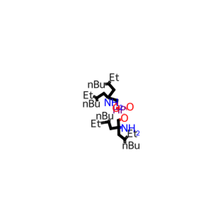 CCCCC(CC)CC(N)(CO[PH](=O)OCC(N)(CC(CC)CCCC)CC(CC)CCCC)CC(CC)CCCC